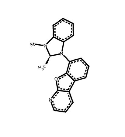 CCN1c2ccccc2N(c2cccc3c2oc2ncccc23)[C@H]1C